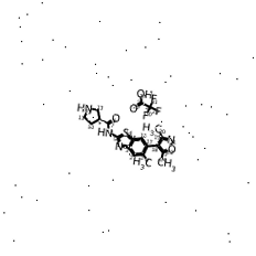 Cc1cc2nc(NC(=O)[C@H]3CCNC3)sc2cc1-c1c(C)noc1C.O=C(O)C(F)(F)F